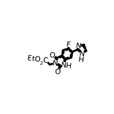 CCOC(=O)Cn1c(=O)[nH]c2cc(-c3ncc[nH]3)c(F)cc2c1=O